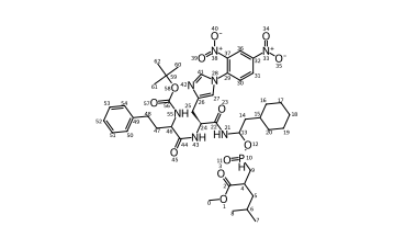 COC(=O)C(CC(C)C)C[PH](=O)OC(CC1CCCCC1)NC(=O)[C@H](Cc1cn(-c2ccc([N+](=O)[O-])cc2[N+](=O)[O-])cn1)NC(=O)C(CCc1ccccc1)NC(=O)OC(C)(C)C